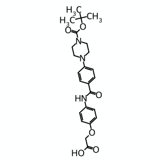 CC(C)(C)OC(=O)N1CCN(c2ccc(C(=O)Nc3ccc(OCC(=O)O)cc3)cc2)CC1